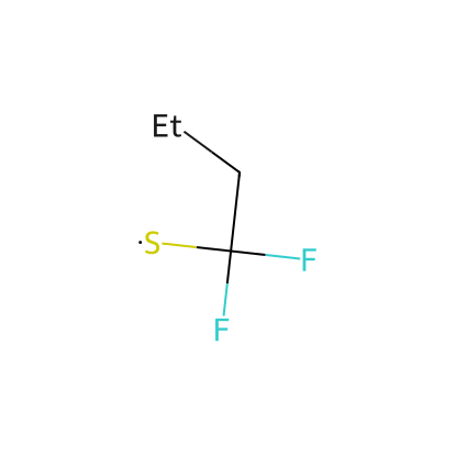 CCCC(F)(F)[S]